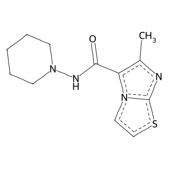 Cc1nc2sccn2c1C(=O)NN1CCCCC1